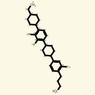 CCCCc1ccc(C2CCC(c3ccc(C4CCC(CC)CC4)c(F)c3F)CC2)cc1F